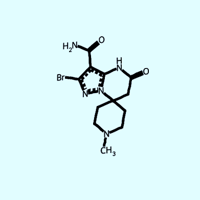 CN1CCC2(CC1)CC(=O)Nc1c(C(N)=O)c(Br)nn12